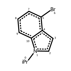 CC(C)n1ccc2c(Br)cccc21